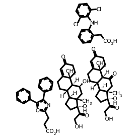 C[C@]12CCC(=O)C=C1CC[C@@H]1[C@@H]2C(=O)C[C@@]2(C)[C@H]1CC[C@]2(O)C(=O)CO.C[C@]12CCC(=O)C=C1CC[C@@H]1[C@@H]2[C@@H](O)C[C@@]2(C)[C@H]1CC[C@]2(O)C(=O)CO.O=C(O)CCc1nc(-c2ccccc2)c(-c2ccccc2)o1.O=C(O)Cc1ccccc1Nc1c(Cl)cccc1Cl